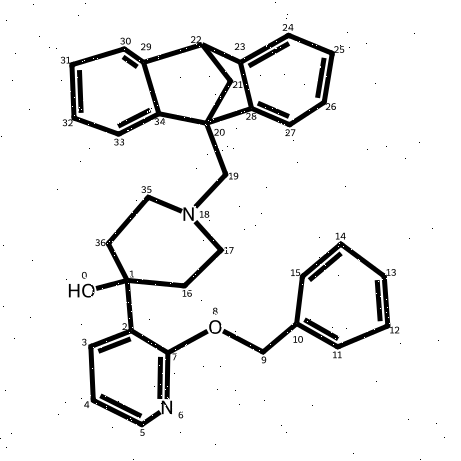 OC1(c2cccnc2OCc2ccccc2)CCN(CC23CC(c4ccccc42)c2ccccc23)CC1